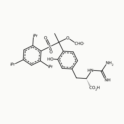 CC(C)c1cc(C(C)C)c(S(=O)(=O)C(C)(O[C]=O)c2ccc(C[C@H](NC(=N)N)C(=O)O)cc2O)c(C(C)C)c1